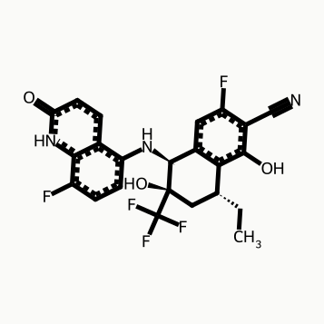 CC[C@@H]1C[C@](O)(C(F)(F)F)[C@@H](Nc2ccc(F)c3[nH]c(=O)ccc23)c2cc(F)c(C#N)c(O)c21